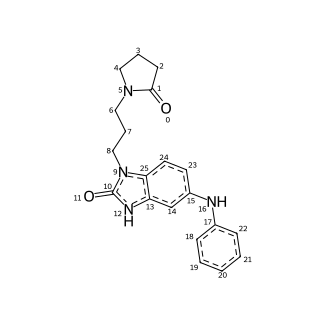 O=C1CCCN1CCCn1c(=O)[nH]c2cc(Nc3ccccc3)ccc21